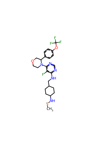 CSNC1CCC(CNc2ncnc(N3CCOCC3c3ccc(OC(F)(F)F)cc3)c2F)CC1